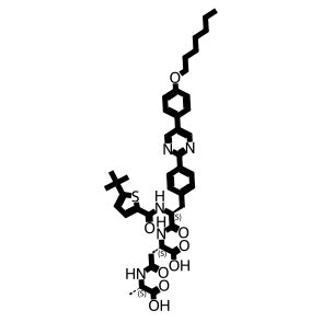 CCCCCCCOc1ccc(-c2cnc(-c3ccc(C[C@H](NC(=O)c4ccc(C(C)(C)C)s4)C(=O)N[C@@H](CC(=O)N[C@@H](C)C(=O)O)C(=O)O)cc3)nc2)cc1